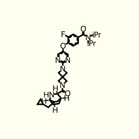 CC(C)N(C(=O)c1ccc(Oc2cnc(N3CC4(CN(C(=O)[C@H]5N[C@H]6CC[C@@H]5C[C@@H]6CC5CC5)C4)C3)nc2)c(F)c1)C(C)C